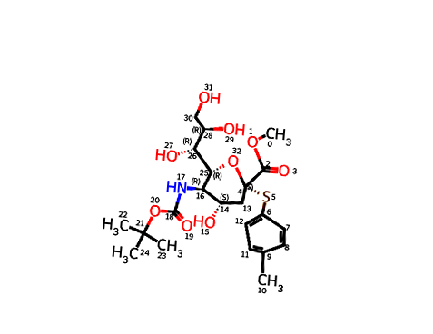 COC(=O)[C@@]1(Sc2ccc(C)cc2)C[C@H](O)[C@@H](NC(=O)OC(C)(C)C)[C@H]([C@H](O)[C@H](O)CO)O1